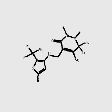 CCCCC1(CC)C(N=O)=C(CNc2cc(C)oc2C(F)(F)P)C(=O)N(C)N1C